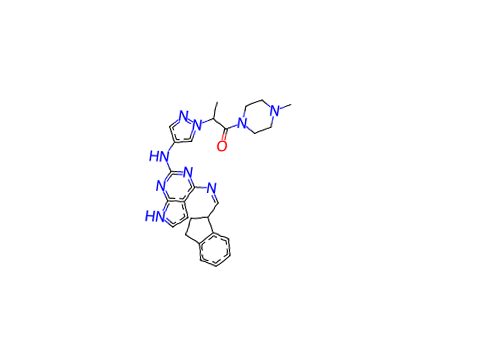 CC(C(=O)N1CCN(C)CC1)n1cc(Nc2nc(/N=C\C3CCc4ccccc43)c3cc[nH]c3n2)cn1